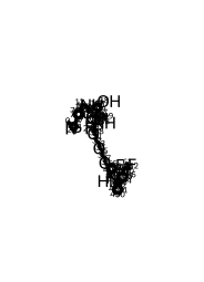 Cc1ncsc1-c1ccc([C@H](C)NC(=O)[C@@H]2C[C@@H](O)CN2C(=O)C(NC(=O)C(F)(F)OCCCOCCCOc2cc(F)c([C@@H]3c4[nH]c5ccccc5c4C[C@@H](C)N3CC(C)(C)F)c(F)c2)C(C)(C)C)cc1